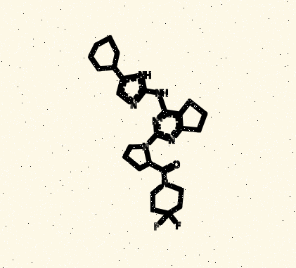 O=C(C1CCCN1c1nc2c(c(Nc3ncc(C4CCCCC4)[nH]3)n1)CCC2)N1CCC(F)(F)CC1